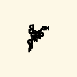 Cn1c(=O)n(CCCO)c(=O)c2c1nc(-c1cccc(OCF)c1)n2Cc1ccc(Cl)cc1